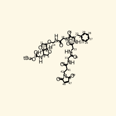 CC(C)(C)OC(=O)N[C@H]1CO[C@H]2[C@@H]1OC[C@H]2OCNC(=O)CNC(=O)[C@H](Cc1ccccc1)NC(=O)CNC(=O)CNC(=O)CCN1C(=O)C=CC1=O